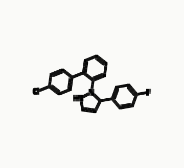 Fc1ccc(C2C=CNN2c2ccccc2-c2ccc(Cl)cc2)cc1